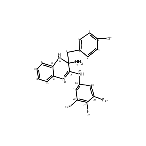 NC1(Cc2ccc(Cl)cc2)Nc2ccccc2N=C1Nc1cc(F)c(F)c(F)c1